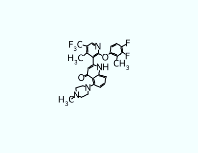 Cc1c(Oc2ncc(C(F)(F)F)c(C)c2-c2cc(=O)c3c(N4CCN(C)CC4)cccc3[nH]2)ccc(F)c1F